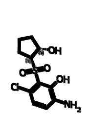 Nc1ccc(Cl)c(S(=O)(=O)[C@H]2CCC[C@@H]2O)c1O